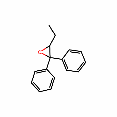 CCC1OC1(c1ccccc1)c1ccccc1